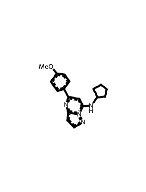 COc1ccc(-c2cc(NC3CCCC3)n3nccc3n2)cc1